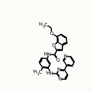 CCOc1cccc2cc(C(=O)Nc3ccc(C)c(Nc4nccc(-c5cccnc5)n4)c3)oc12